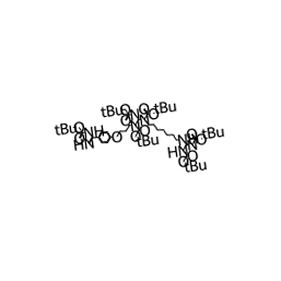 CC(C)(C)OC(=O)/N=C(/N(CCCCCCCN/C(=N\C(=O)OC(C)(C)C)NC(=O)OC(C)(C)C)C(=O)OC(C)(C)C)N(CCCOc1ccc(C(=N)NC(=O)OC(C)(C)C)cc1)C(=O)OC(C)(C)C